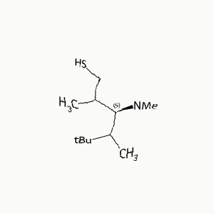 CN[C@H](C(C)CS)C(C)C(C)(C)C